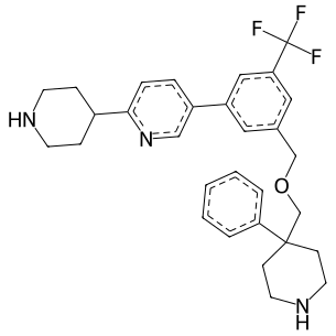 FC(F)(F)c1cc(COCC2(c3ccccc3)CCNCC2)cc(-c2ccc(C3CCNCC3)nc2)c1